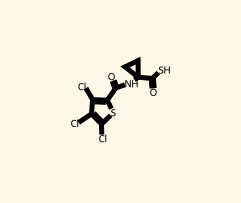 O=C(NC1(C(=O)S)CC1)c1sc(Cl)c(Cl)c1Cl